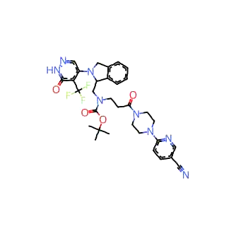 CC(C)(C)OC(=O)N(CCC(=O)N1CCN(c2ccc(C#N)cn2)CC1)CC1c2ccccc2CN1c1cn[nH]c(=O)c1C(F)(F)F